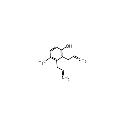 C=CCc1c(C)ccc(O)c1CC=C